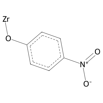 O=[N+]([O-])c1ccc([O][Zr])cc1